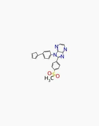 CS(=O)(=O)c1ccc(-c2nc3nccnc3n2-c2ccc(C3=CC=CC3)cc2)cc1